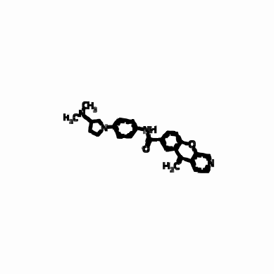 C=C1c2ccncc2Oc2ccc(C(=O)Nc3ccc(N4CCC(N(C)C)C4)cc3)cc21